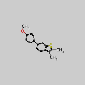 COc1ccc(-c2ccc3c(C)c(C)sc3c2)cc1